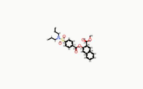 CCCN(CCC)S(=O)(=O)c1ccc(C(=O)Oc2cc3ccccc3cc2C(=O)OC)cc1